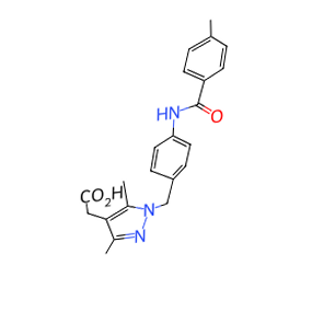 Cc1ccc(C(=O)Nc2ccc(Cn3nc(C)c(CC(=O)O)c3C)cc2)cc1